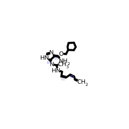 C=C/C=C\C=C/CNC(C)/N=C1/NC=N/C1=C(/N)OCC1CCCCC1